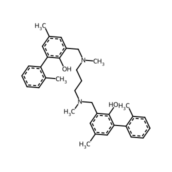 Cc1cc(CN(C)CCCN(C)Cc2cc(C)cc(-c3ccccc3C)c2O)c(O)c(-c2ccccc2C)c1